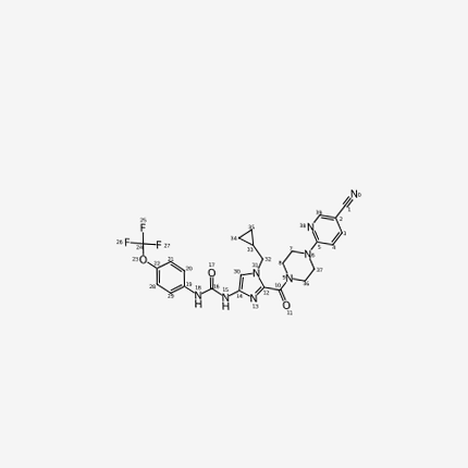 N#Cc1ccc(N2CCN(C(=O)c3nc(NC(=O)Nc4ccc(OC(F)(F)F)cc4)cn3CC3CC3)CC2)nc1